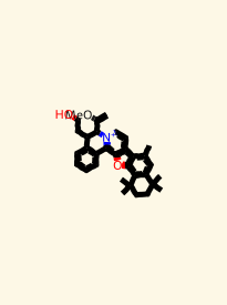 C=C(OC)C1C(CCO)c2ccccc2-c2c3oc4c5c(cc(C)c4c3cc[n+]21)C(C)(C)CCC5(C)C